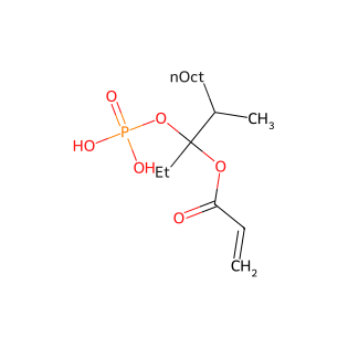 C=CC(=O)OC(CC)(OP(=O)(O)O)C(C)CCCCCCCC